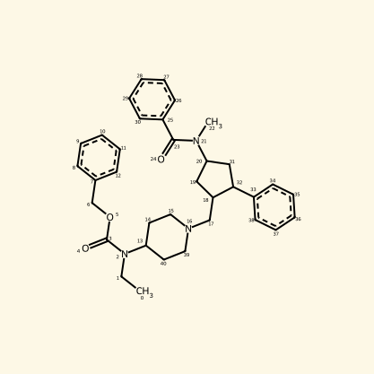 CCN(C(=O)OCc1ccccc1)C1CCN(CC2CC(N(C)C(=O)c3ccccc3)CC2c2ccccc2)CC1